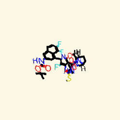 CSc1nc2c3c(nc(-c4cc(NC(=O)OC(C)(C)C)cc5ccc(F)c(F)c45)c(F)c3n1)O[C@@H](C)[C@@H]1[C@@H]3CC[C@H](CN21)N3C(=O)OC(C)(C)C